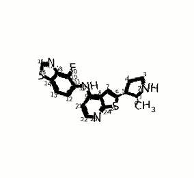 C[C@H]1NCC[C@@H]1c1cc2c(Nc3ccc4scnc4c3F)ccnc2s1